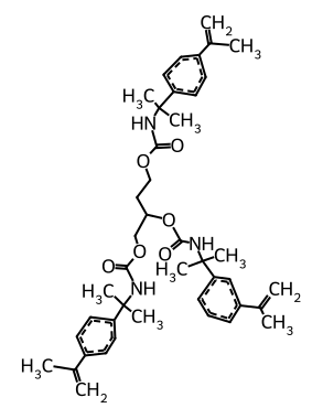 C=C(C)c1ccc(C(C)(C)NC(=O)OCCC(COC(=O)NC(C)(C)c2ccc(C(=C)C)cc2)OC(=O)NC(C)(C)c2cccc(C(=C)C)c2)cc1